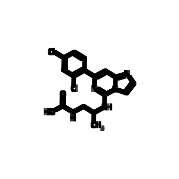 CC(CNC(=O)O)Nc1nc(-c2ccc(Cl)cc2Cl)cc2nccn12